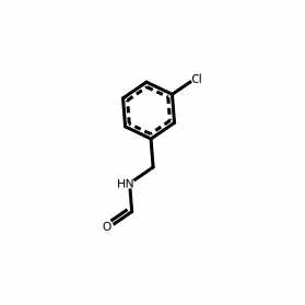 O=CNCc1cccc(Cl)c1